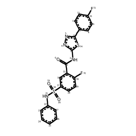 O=C(Nc1nnc(-c2ccc(F)cc2)s1)c1cc(S(=O)(=O)Nc2ccccc2)ccc1F